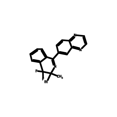 CCC1(C)N=C(c2ccc3nccnc3c2)c2ccccc2C1(F)F